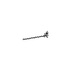 CCCCCCCCCCCCCCCCCCCCCCOc1nc2cscc2nc1CC